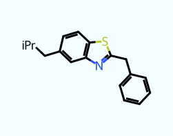 CC(C)Cc1ccc2sc(Cc3ccccc3)nc2c1